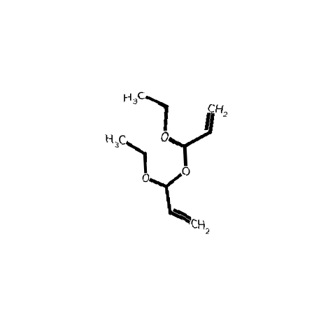 C=CC(OCC)OC(C=C)OCC